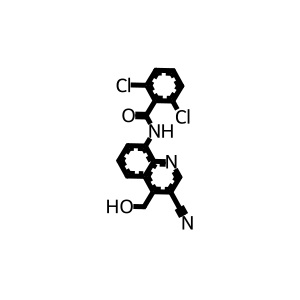 N#Cc1cnc2c(NC(=O)c3c(Cl)cccc3Cl)cccc2c1CO